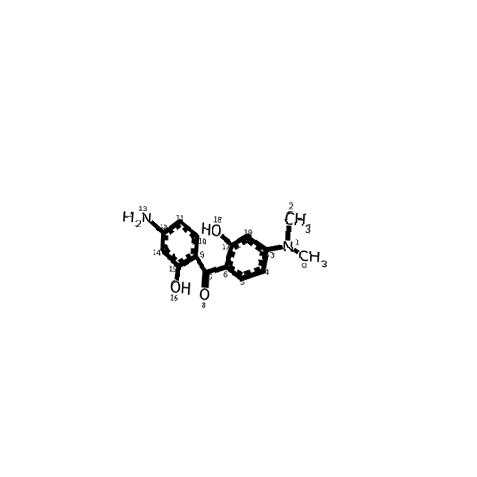 CN(C)c1ccc(C(=O)c2ccc(N)cc2O)c(O)c1